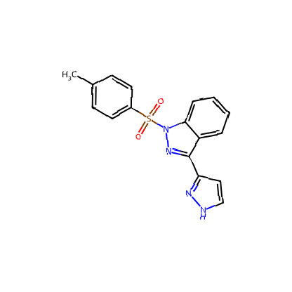 Cc1ccc(S(=O)(=O)n2nc(-c3cc[nH]n3)c3ccccc32)cc1